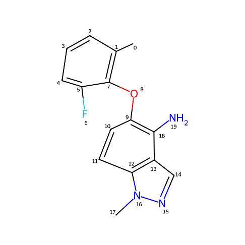 Cc1cccc(F)c1Oc1ccc2c(cnn2C)c1N